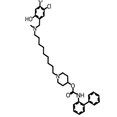 CN(CCCCCCCCCN1CCC(OC(=O)Nc2ccccc2-c2ccccc2)CC1)Cc1cc(Cl)c(Cl)cc1O